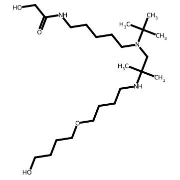 CC(C)(CN(CCCCCNC(=O)CO)C(C)(C)C)NCCCCOCCCCO